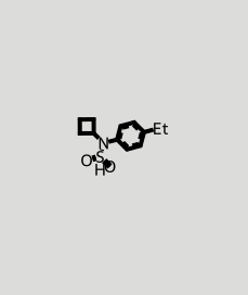 CCc1ccc(N(C2CCC2)[SH](=O)=O)cc1